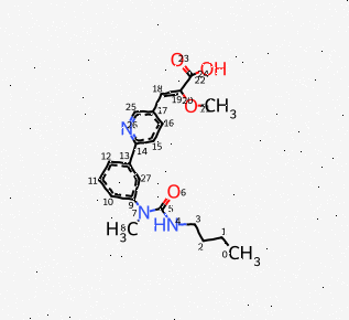 CCCCNC(=O)N(C)c1cccc(-c2ccc(C=C(OC)C(=O)O)cn2)c1